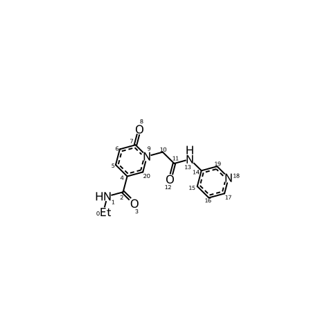 CCNC(=O)c1ccc(=O)n(CC(=O)Nc2cccnc2)c1